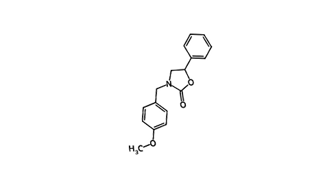 COc1ccc(CN2CC(c3ccccc3)OC2=O)cc1